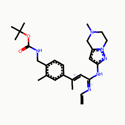 C=C/N=C(\C=C(/C)c1ccc(CNC(=O)OC(C)(C)C)c(C)c1)Nc1cc2n(n1)CCN(C)C2